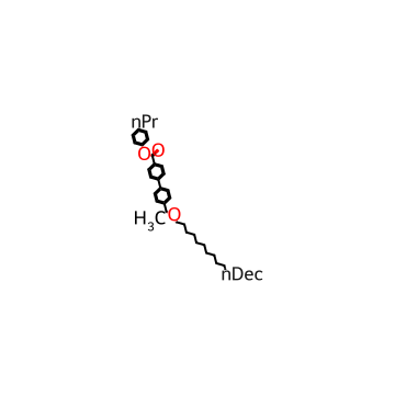 CCCCCCCCCCCCCCCCCCCCOC(C)c1ccc(-c2ccc(C(=O)Oc3ccc(CCC)cc3)cc2)cc1